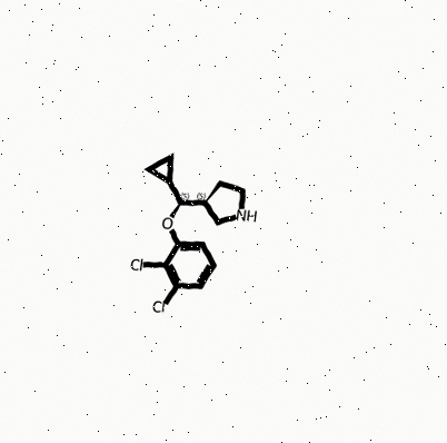 Clc1cccc(O[C@@H](C2CC2)[C@H]2CCNC2)c1Cl